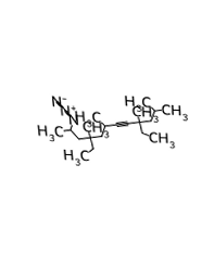 CCC(C)(C#CC(C)CC(C)(CC)CC(C)N=[N+]=[N-])CC(C)C